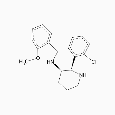 COc1ccccc1CN[C@@H]1CCCN[C@@H]1c1ccccc1Cl